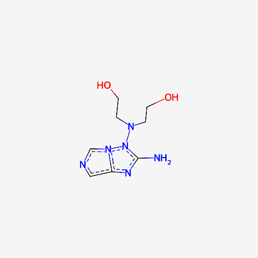 Nc1nc2cncn2n1N(CCO)CCO